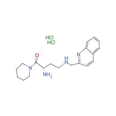 Cl.Cl.N[C@@H](CCNCc1ccc2ccccc2n1)C(=O)N1CCCCC1